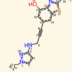 Cn1ccc(NCC#Cc2cc(O)c3nc(N)sc3c2)n1